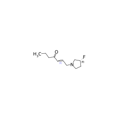 CCCC(=O)/C=C/CN1CC[C@@H](F)C1